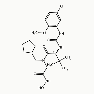 COc1ccc(Cl)cc1NC(=O)N[C@H](C(=O)N(CC(=O)NO)CC1CCCC1)C(C)(C)C